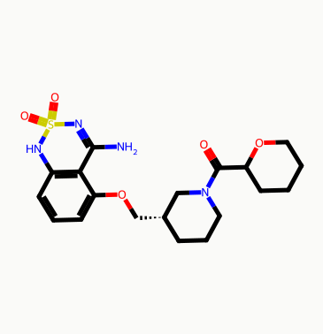 NC1=NS(=O)(=O)Nc2cccc(OC[C@H]3CCCN(C(=O)C4CCCCO4)C3)c21